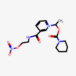 CC(OC(=O)N1CCCCC1)[n+]1cccc(C(=O)NCCO[N+](=O)[O-])c1